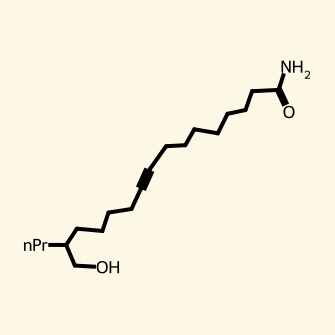 CCCC(CO)CCCCC#CCCCCCCCC(N)=O